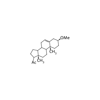 CO[C@H]1CC[C@@]2(C)C(=CCC3C4CCC(C(C)=O)[C@@]4(C)CCC32)C1